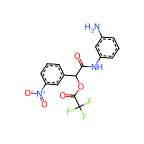 Nc1cccc(NC(=O)C(OC(=O)C(F)(F)F)c2cccc([N+](=O)[O-])c2)c1